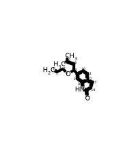 C=CCOC(C=C(C)C)c1ccc2ccc(=O)[nH]c2c1